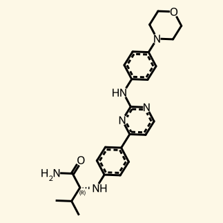 CC(C)[C@@H](Nc1ccc(-c2ccnc(Nc3ccc(N4CCOCC4)cc3)n2)cc1)C(N)=O